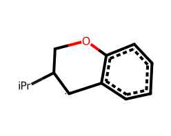 CC(C)C1[CH]c2ccccc2OC1